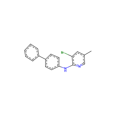 Cc1cnc(Nc2ccc(-c3ccccc3)cc2)c(Br)c1